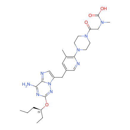 CCC[C@H](CC)Oc1nc(N)c2ncc(Cc3cnc(N4CCN(C(=O)CN(C)C(=O)O)CC4)c(C)c3)n2n1